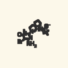 Cn1c(N2CCC3(CCC[C@H]3N[S@+]([O-])C(C)(C)C)CC2)nc(N)c(Br)c1=O